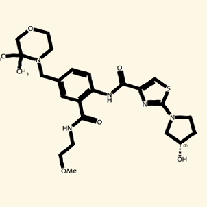 COCCNC(=O)c1cc(CN2CCOCC2(C)C)ccc1NC(=O)c1csc(N2CC[C@H](O)C2)n1